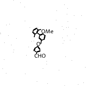 COc1ccc(COc2ccc(C=O)cc2)cc1-c1c(C)cccc1C